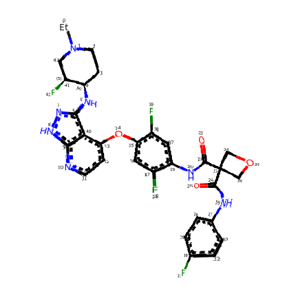 CCN1CC[C@@H](Nc2n[nH]c3nccc(Oc4cc(F)c(NC(=O)C5(C(=O)Nc6ccc(F)cc6)COC5)cc4F)c23)[C@@H](F)C1